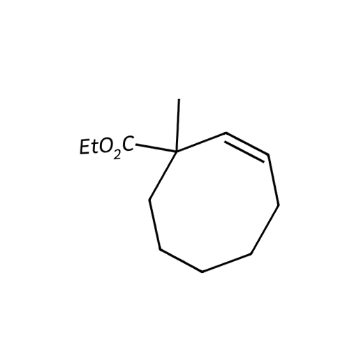 CCOC(=O)C1(C)C=CCCCCC1